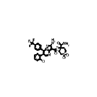 NC(=O)C1(NC(=O)c2c(N)nn3c(-c4ccc(C(F)(F)F)cc4)c(-c4ccccc4Cl)cnc23)CCS(=O)(=O)CC1